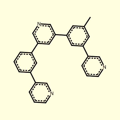 Cc1cc(-c2cccnc2)cc(-c2cncc(-c3cccc(-c4cccnc4)c3)c2)c1